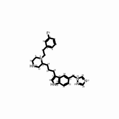 Fc1cccc(CCN2CCNCC2CCCc2c[nH]c3ccc(Cn4cncn4)cc23)c1